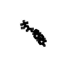 CN1C(=O)C=C[C@]2(C)[C@H]3CC[C@]4(C)[C@@H](CNC(=O)CC(O)C(Cl)(Cl)Cl)CC[C@H]4[C@@H]3CC[C@@H]12